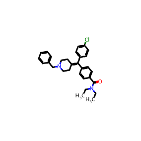 CCN(CC)C(=O)c1ccc(C(=C2CCN(Cc3ccccc3)CC2)c2ccc(Cl)cc2)cc1